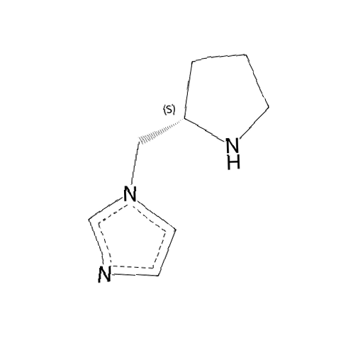 c1cn(C[C@@H]2CCCN2)cn1